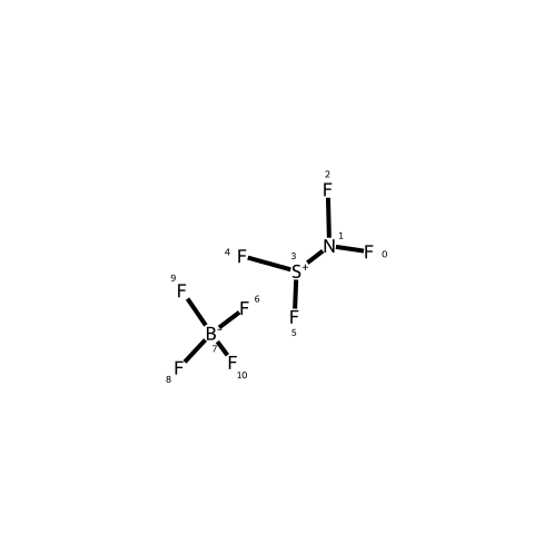 FN(F)[S+](F)F.F[B-](F)(F)F